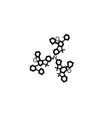 CC1(C)c2cc(N(c3ccc4c(c3)C(C)(C)c3cc(-c5ccccc5-c5ccccc5)c5oc6ccccc6c5c3-4)c3ccc4c(c3)C(C)(C)c3c5c(c6oc7ccccc7c6c3-4)-c3ccccc3C5(C)C)ccc2-c2c1cc(-c1ccccc1)c1oc3ccccc3c21